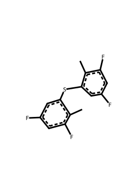 Cc1c(F)cc(F)cc1Sc1cc(F)cc(F)c1C